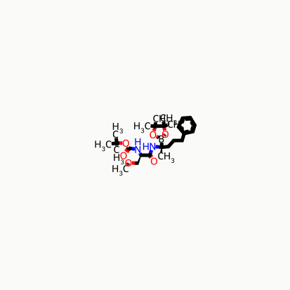 COC[C@@H](NC(=O)OC(C)(C)C)C(=O)N[C@@](C)(CCCc1ccccc1)B1OC(C)(C)C(C)(C)O1